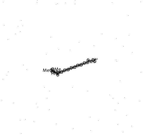 C=CC(=O)OCCNC(=O)OCCOCCOCCOCCOCCOCCOCCOCCOCCOC(=O)NCCC[Si](OC)(OC)OC